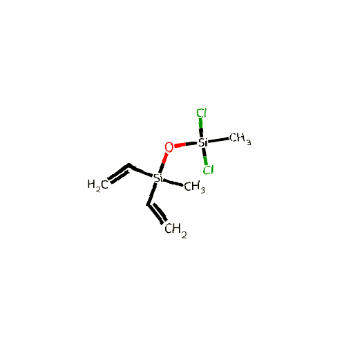 C=C[Si](C)(C=C)O[Si](C)(Cl)Cl